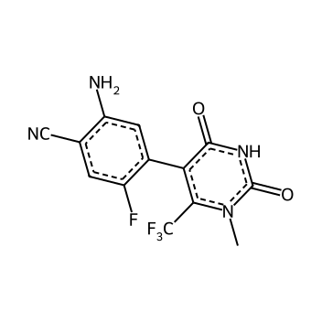 Cn1c(C(F)(F)F)c(-c2cc(N)c(C#N)cc2F)c(=O)[nH]c1=O